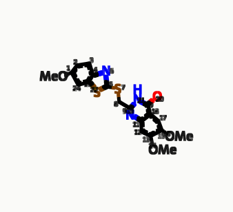 COc1ccc2nc(SCc3nc4cc(OC)c(OC)cc4c(=O)[nH]3)sc2c1